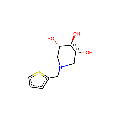 O[C@H]1[C@H](O)CN(Cc2cccs2)C[C@@H]1O